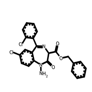 NN1C(=O)C(C(=O)OCc2ccccc2)N=C(c2ccccc2Cl)c2cc(Cl)ccc21